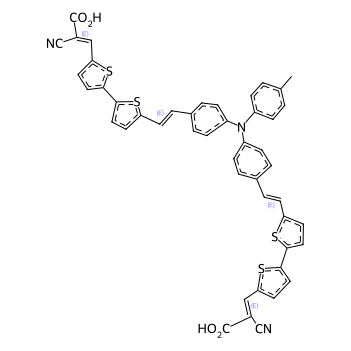 Cc1ccc(N(c2ccc(/C=C/c3ccc(-c4ccc(/C=C(\C#N)C(=O)O)s4)s3)cc2)c2ccc(/C=C/c3ccc(-c4ccc(/C=C(\C#N)C(=O)O)s4)s3)cc2)cc1